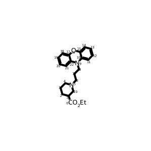 CCOC(=O)C1CCCN(CCCN2c3ccccc3Oc3ccccc32)C1